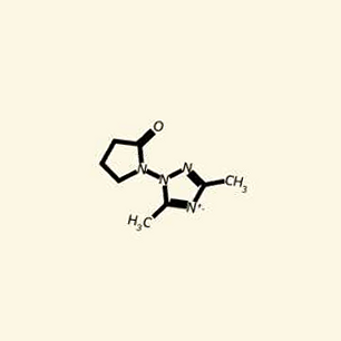 CC1=NN(N2CCCC2=O)C(C)=[N+]1